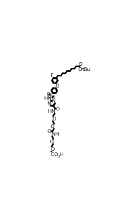 CC(C)(C)OC(=O)CCCCCCCCCc1cc(Oc2ccc(S(=O)(=O)Nc3ncc(C(=O)NCCOCCOCC(=O)NCCOCCOCC(=O)O)cn3)cc2)ccc1F